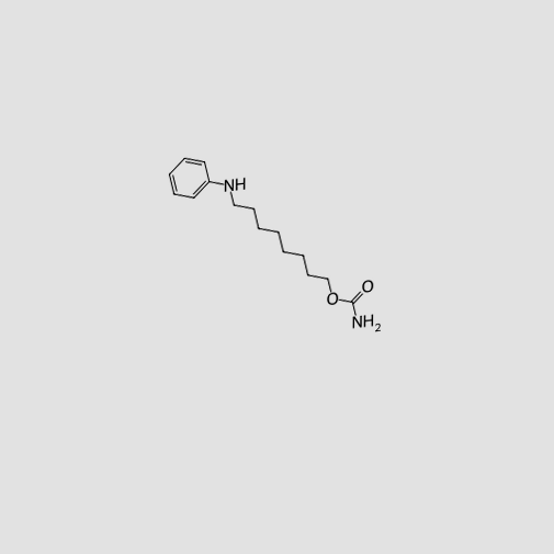 NC(=O)OCCCCCCCCNc1ccccc1